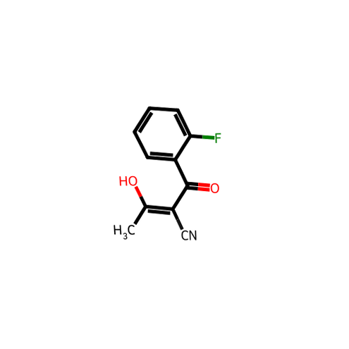 CC(O)=C(C#N)C(=O)c1ccccc1F